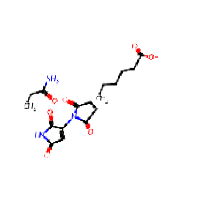 CCC(N)=O.CCCCCC(=O)O.O=C1C=C(N2C(=O)CCC2=O)C(=O)N1